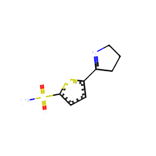 NS(=O)(=O)c1ccc(C2=NCCC2)s1